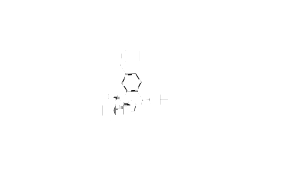 CCc1ccc(C(C)C)c(S(C)(=O)=O)c1